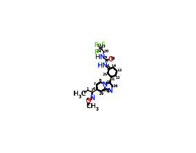 CCC(=NOC)c1ccn2c(-c3cccc(NC(=O)NCC(F)(F)F)c3)cnc2c1